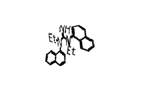 CCN(C(=N)N(CC)c1cccc2ccccc12)c1cccc2ccccc12